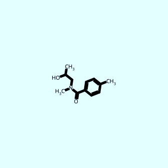 Cc1ccc(C(=O)N(C)CC(C)O)cc1